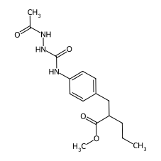 CCCC(Cc1ccc(NC(=O)NNC(C)=O)cc1)C(=O)OC